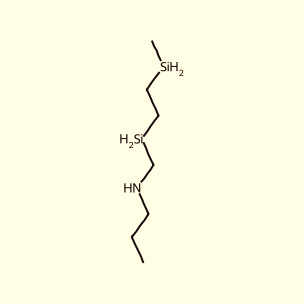 CCCNC[SiH2]CC[SiH2]C